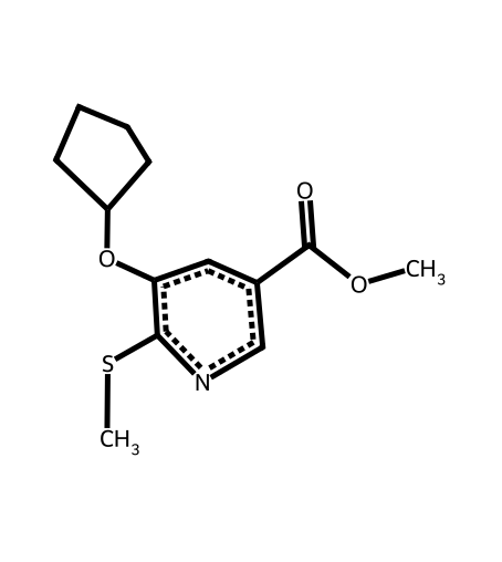 COC(=O)c1cnc(SC)c(OC2CCCC2)c1